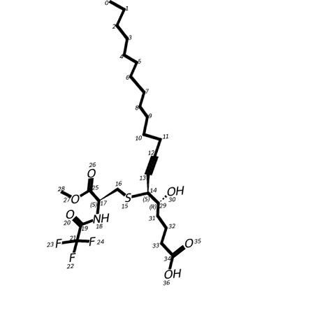 CCCCCCCCCCCCC#C[C@H](SC[C@@H](NC(=O)C(F)(F)F)C(=O)OC)[C@H](O)CCCC(=O)O